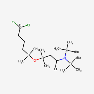 CCC(C[Si](C)(C)O[Si](C)(C)CCC[SiH](Cl)Cl)N([Si](C)(C)C(C)(C)C)[Si](C)(C)C(C)(C)C